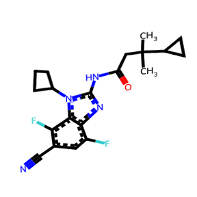 CC(C)(CC(=O)Nc1nc2c(F)cc(C#N)c(F)c2n1C1CCC1)C1CC1